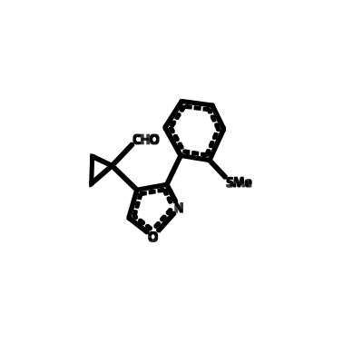 CSc1ccccc1-c1nocc1C1(C=O)CC1